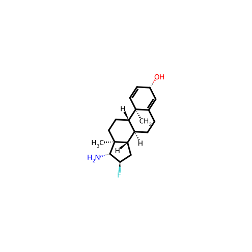 C[C@]12CC[C@H]3[C@@H](CCC4=C[C@@H](O)C=C[C@@]43C)[C@@H]1C[C@@H](F)[C@@H]2N